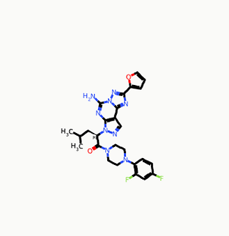 CC(C)C[C@H](C(=O)N1CCN(c2ccc(F)cc2F)CC1)n1ncc2c1nc(N)n1nc(-c3ccco3)nc21